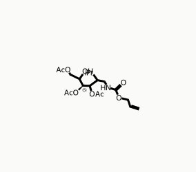 C=CCOC(=O)NCC(C(C)C)C(OC(C)=O)[C@@H](OC(C)=O)C(O)COC(C)=O